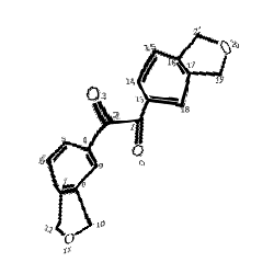 O=C(C(=O)c1ccc2c(c1)COC2)c1ccc2c(c1)COC2